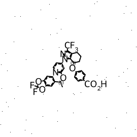 C[C@H](Oc1cc(-n2nc(C(F)(F)F)c3c2[C@@H](Oc2ccc(C(=O)O)cc2)CCC3)ccn1)c1ccc2c(c1)OC(F)(F)O2